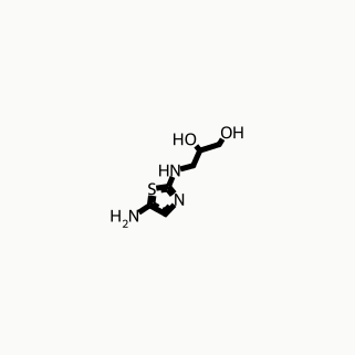 Nc1cnc(NCC(O)CO)s1